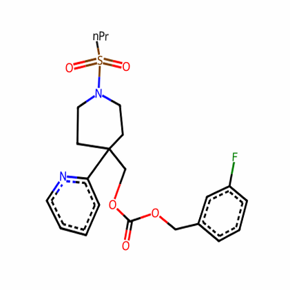 CCCS(=O)(=O)N1CCC(COC(=O)OCc2cccc(F)c2)(c2ccccn2)CC1